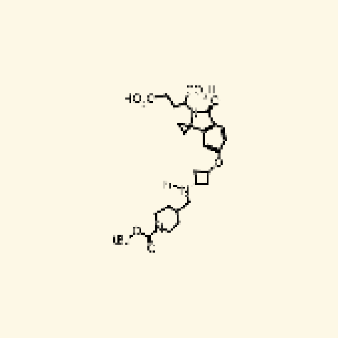 CC(C)N(CC1CCN(C(=O)OC(C)(C)C)CC1)[C@H]1C[C@H](Oc2ccc3c(c2)C2(CC2)N(C(CCC(=O)O)C(=O)O)C3=O)C1